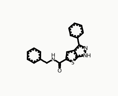 O=C(NCc1ccccc1)c1cc2c(-c3ccccc3)n[nH]c2s1